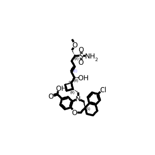 COC[C@@H](C/C=C/[C@H](O)[C@@H]1CC[C@H]1CN1C[C@@]2(CCCc3cc(Cl)ccc32)COc2ccc(C(=O)O)cc21)S(N)(=O)=O